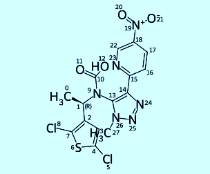 C[C@H](c1cc(Cl)sc1Cl)N(C(=O)O)c1c(-c2ccc([N+](=O)[O-])cn2)nnn1C